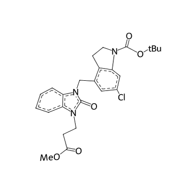 COC(=O)CCn1c(=O)n(Cc2cc(Cl)cc3c2CCN3C(=O)OC(C)(C)C)c2ccccc21